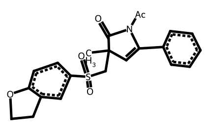 CC(=O)N1C(=O)C(C)(CS(=O)(=O)c2ccc3c(c2)CCO3)C=C1c1ccccc1